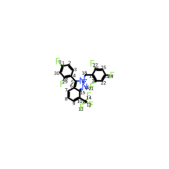 Fc1ccc(-c2c3cccc(C(F)(F)F)c3nn2Cc2c(F)cc(F)cc2F)c(F)c1